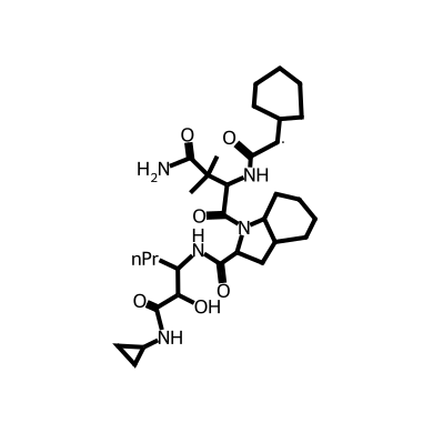 CCCC(NC(=O)C1CC2CCCCC2N1C(=O)C(NC(=O)[CH]C1CCCCC1)C(C)(C)C(N)=O)C(O)C(=O)NC1CC1